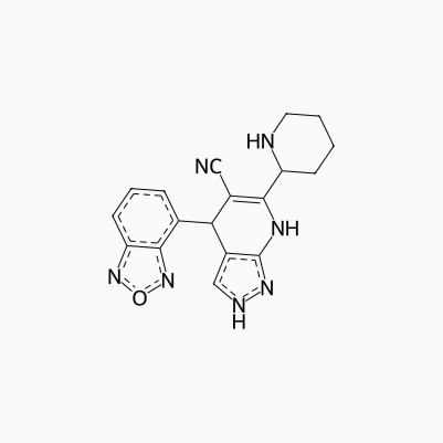 N#CC1=C(C2CCCCN2)Nc2n[nH]cc2C1c1cccc2nonc12